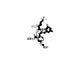 CC(=CCCC(F)(F)F)C(=O)N[C@@H](Cc1cc(F)cc(F)c1)[C@H](O)[C@H]1CO[C@@H](OCC(C)(C)C)CN1C(=O)OC(C)(C)C